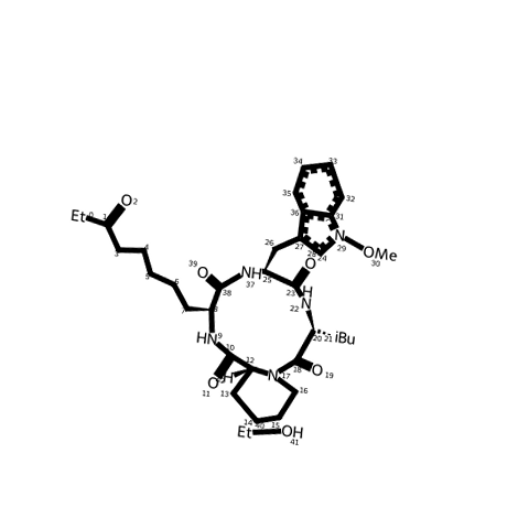 CCC(=O)CCCCC[C@@H]1NC(=O)[C@H]2CCCCN2C(=O)[C@H]([C@@H](C)CC)NC(=O)[C@H](Cc2cn(OC)c3ccccc23)NC1=O.CCO